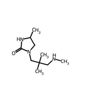 CNCC(C)(C)CN1CC(C)NC1=O